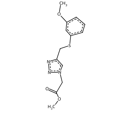 COC(=O)Cn1cc(CSc2cccc(OC)c2)nn1